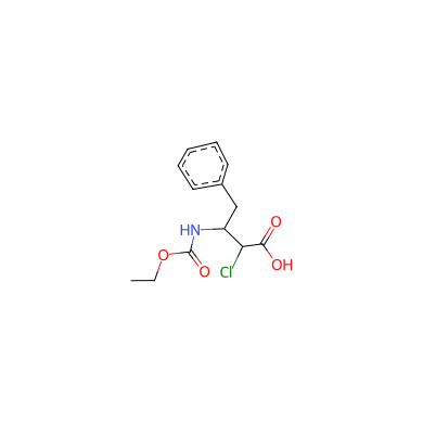 CCOC(=O)NC(Cc1ccccc1)C(Cl)C(=O)O